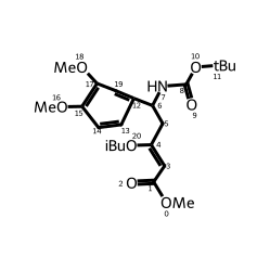 COC(=O)/C=C(/CC(NC(=O)OC(C)(C)C)c1ccc(OC)c(OC)c1)OCC(C)C